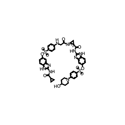 NC(=O)CNc1ccc(S(=O)(=O)Oc2ccc3[nH]c(NC(=O)C4CC4)nc3c2)cc1.O=C(Nc1nc2cc(OS(=O)(=O)c3ccc(N4CCC(O)CC4)cc3)ccc2[nH]1)C1CC1